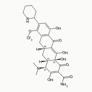 CN(C)[C@@H]1C(O)=C(C(N)=O)C(=O)[C@@]2(O)C(O)=C3C(=O)c4c(O)cc(C5CCCCN5)c(OC(F)(F)F)c4C[C@H]3C[C@@H]12